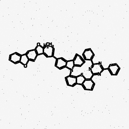 C=c1oc2cc3c(cc2/c1=C/C(=C\C)c1ccc2c(c1)c1ccccc1n2-c1cccc2c1sc1c(-c4nc(-c5ccccc5)nc(-c5ccccc5)n4)cccc12)oc1ccccc13